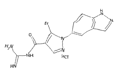 CCc1c(C(=O)NC(=N)N)cnn1-c1ccc2[nH]ncc2c1.Cl